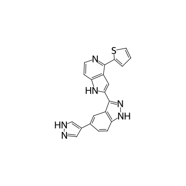 c1csc(-c2nccc3[nH]c(-c4n[nH]c5ccc(-c6cn[nH]c6)cc45)cc23)c1